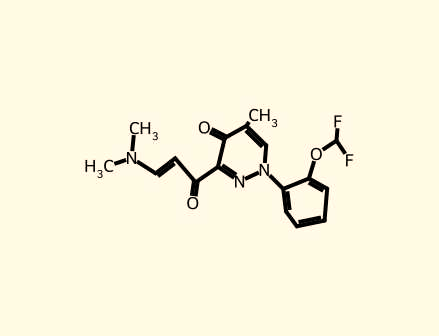 Cc1cn(-c2ccccc2OC(F)F)nc(C(=O)/C=C/N(C)C)c1=O